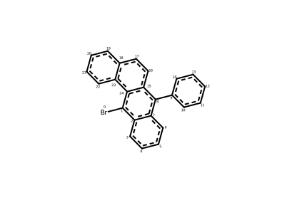 Brc1c2ccccc2c(-c2ccccc2)c2ccc3ccccc3c12